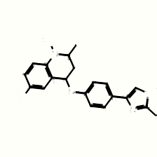 CC(=O)N1c2ccc(C(=O)O)cc2C(Nc2ccc(-c3csc(C)n3)cc2)CC1C